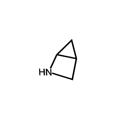 C1NC2CC12